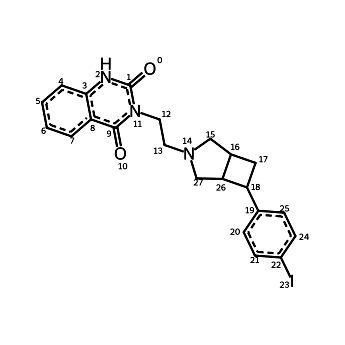 O=c1[nH]c2ccccc2c(=O)n1CCN1CC2CC(c3ccc(I)cc3)C2C1